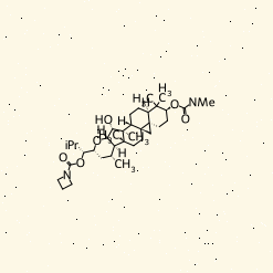 CNC(=O)O[C@H]1CC[C@]23C[C@]24CC[C@]2(C)[C@@H]5[C@H](O[C@@H]([C@H](OC(=O)N6CCC6)C(C)C)C[C@H]5C)[C@H](O)[C@@]2(C)[C@@H]4CC[C@H]3C1(C)C